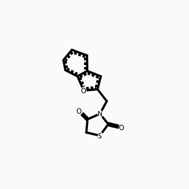 O=C1CSC(=O)N1Cc1cc2ccccc2o1